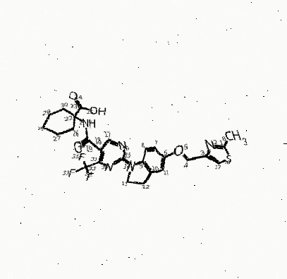 Cc1nc(COc2ccc3c(c2)CCN3c2ncc(C(=O)NC3(C(=O)O)CCCCC3)c(C(F)(F)F)n2)cs1